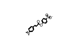 CN(C)c1ccc(/C=C/C(=O)Oc2ccc([N+](=O)[O-])cc2)cc1